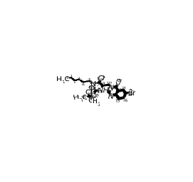 CCCCCCNC(=O)C(Cn1cnc2ccc(Br)cc2c1=O)NC(=O)OC(C)(C)C